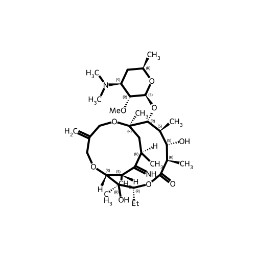 C=C1CO[C@@H]2[C@@H](C)C(=N)[C@H](C)C[C@@](C)(OC1)[C@H](O[C@@H]1O[C@H](C)C[C@H](N(C)C)[C@H]1OC)[C@@H](C)[C@H](O)[C@@H](C)C(=O)O[C@H](CC)[C@@]2(C)O